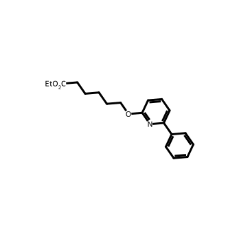 CCOC(=O)CCCCCOc1cccc(-c2ccccc2)n1